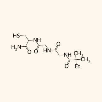 CCC(C)(C)C(=O)NCC(=O)NCC(=O)NC(CS)C(N)=O